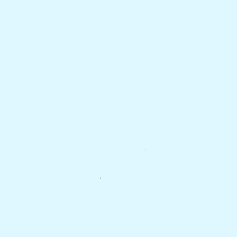 C#CC(OC(=O)C1C(C=C(F)F)C1(C)C)/C(F)=C/CCCl